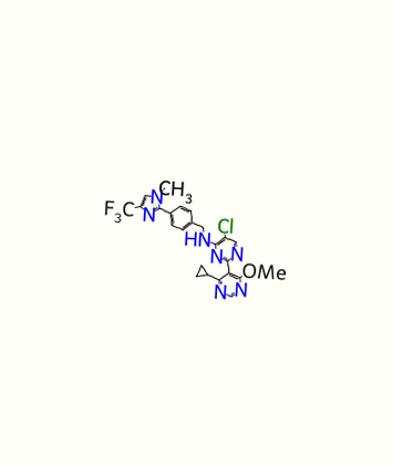 COc1ncnc(C2CC2)c1-c1ncc(Cl)c(NCc2ccc(-c3nc(C(F)(F)F)cn3C)cc2)n1